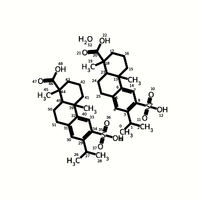 CC(C)c1cc2c(cc1S(=O)(=O)O)C1(C)CCCC(C)(C(=O)O)C1CC2.CC(C)c1cc2c(cc1S(=O)(=O)O)C1(C)CCCC(C)(C(=O)O)C1CC2.O